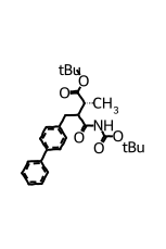 C[C@@H](C(=O)OC(C)(C)C)C(Cc1ccc(-c2ccccc2)cc1)C(=O)NC(=O)OC(C)(C)C